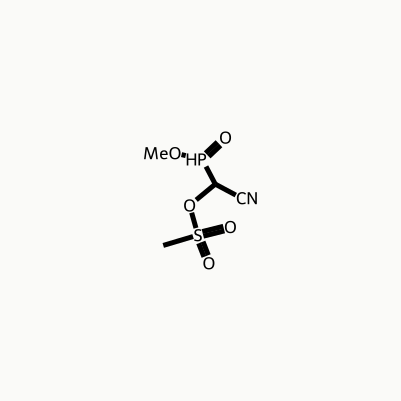 CO[PH](=O)C(C#N)OS(C)(=O)=O